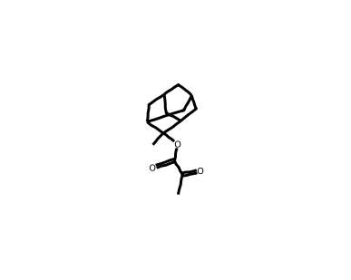 CC(=O)C(=O)OC1(C)C2CC3CC(C2)CC1C3